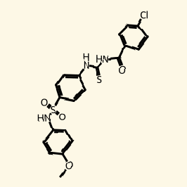 COc1ccc(NS(=O)(=O)c2ccc(NC(=S)NC(=O)c3ccc(Cl)cc3)cc2)cc1